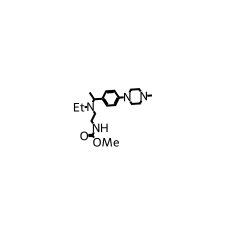 CCN(CCNC(=O)OC)C(C)c1ccc(N2CCN(C)CC2)cc1